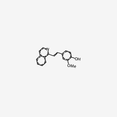 COc1cc(/C=C/c2nccc3ccccc23)ccc1O